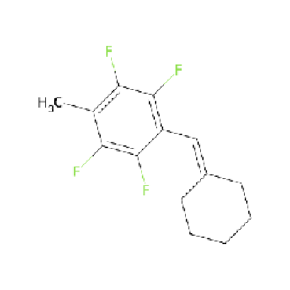 Cc1c(F)c(F)c(C=C2CCCCC2)c(F)c1F